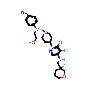 N#Cc1ccc(N(CCO)SN2CCC(n3ncc(NCC4(F)CCCOC4)c(Cl)c3=O)CC2)cc1